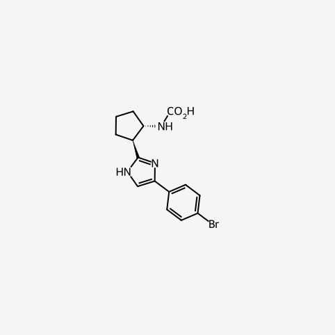 O=C(O)N[C@H]1CCC[C@@H]1c1nc(-c2ccc(Br)cc2)c[nH]1